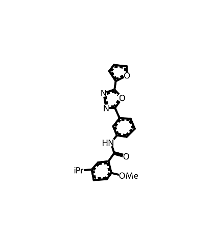 COc1ccc(C(C)C)cc1C(=O)Nc1cccc(-c2nnc(-c3ccco3)o2)c1